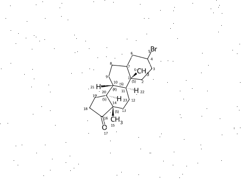 C[C@]12CCC(Br)CC1CC[C@@H]1[C@@H]2CC[C@]2(C)C(=O)CC[C@@H]12